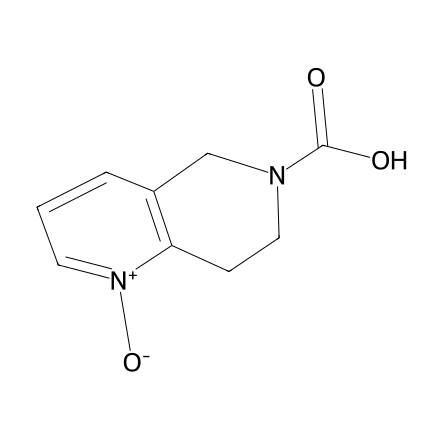 O=C(O)N1CCc2c(ccc[n+]2[O-])C1